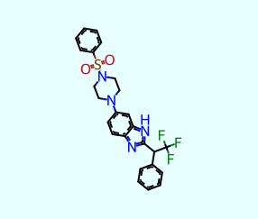 O=S(=O)(c1ccccc1)N1CCN(c2ccc3nc(C(c4ccccc4)C(F)(F)F)[nH]c3c2)CC1